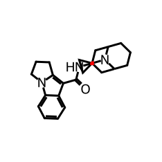 O=C(NC1CC2CCCC(C1)N2C1CC1)c1c2n(c3ccccc13)CCC2